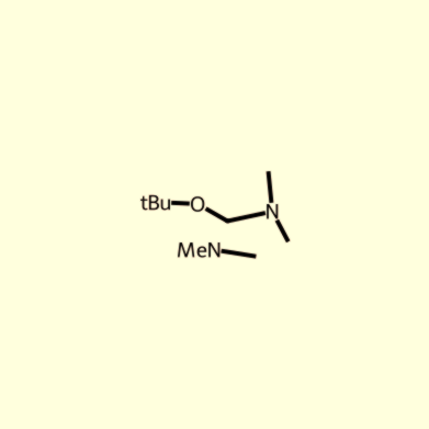 CN(C)COC(C)(C)C.CNC